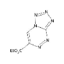 CCOC(=O)c1cn2nnnc2nn1